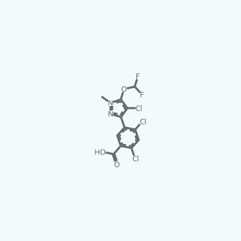 Cn1nc(-c2cc(C(=O)O)c(Cl)cc2Cl)c(Cl)c1OC(F)F